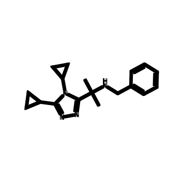 CC(C)(NCc1ccccc1)c1nnc(C2CC2)n1C1CC1